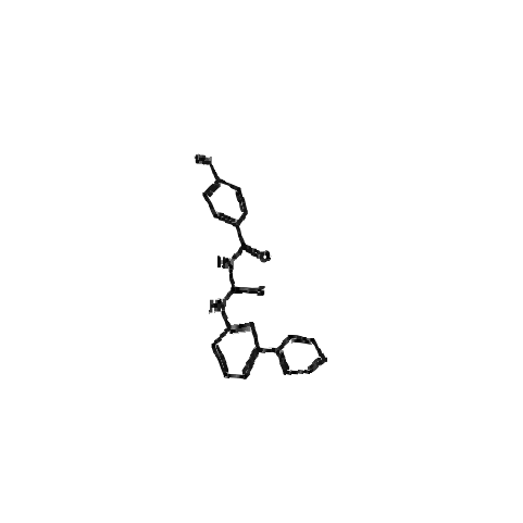 CC(C)(C)c1ccc(C(=O)NC(=S)Nc2cccc(-c3ccccc3)c2)cc1